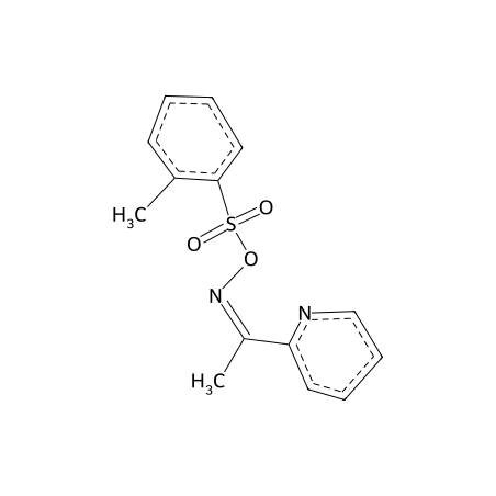 CC(=NOS(=O)(=O)c1ccccc1C)c1ccccn1